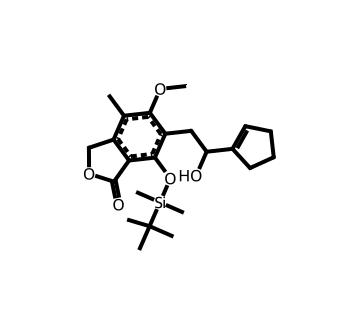 COc1c(C)c2c(c(O[Si](C)(C)C(C)(C)C)c1CC(O)C1=CCCC1)C(=O)OC2